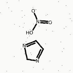 C1=NCN=C1.O=[N+]([O-])O